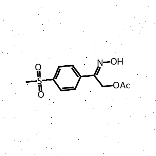 CC(=O)OCC(=NO)c1ccc(S(C)(=O)=O)cc1